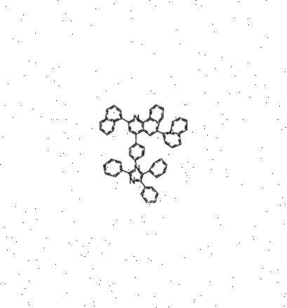 c1ccc(-c2nc(-c3ccccc3)n(-c3ccc(-c4cc(-c5cccc6ccccc56)nc5c4cc(-c4cccc6ccccc46)c4ccccc45)cc3)c2-c2ccccc2)cc1